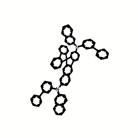 c1ccc(-c2cccc(N(c3ccc4c(c3)C3(c5ccccc5-c5ccccc53)c3cc5cc(N(c6cccc(-c7ccccc7)c6)c6ccc7ccccc7c6)ccc5cc3-4)c3ccc4ccccc4c3)c2)cc1